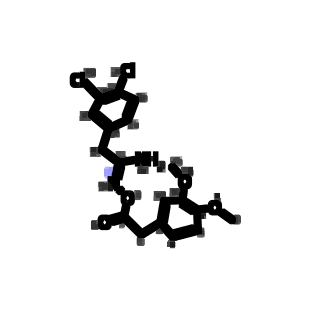 COc1ccc(CC(=O)O/N=C(\N)Cc2ccc(Cl)c(Cl)c2)cc1OC